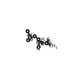 COc1ccc(C2=NN3C(C2)c2ccc(-c4cccc(C5Oc6ccccc6C6CC(c7ccccc7)=NN65)c4)cc2OC3c2ccncc2)cc1OC